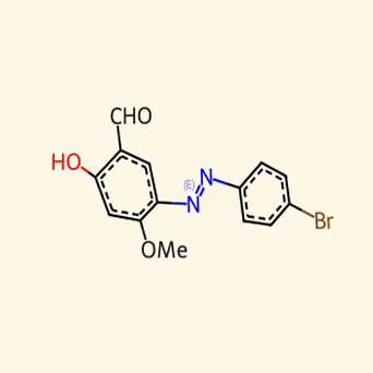 COc1cc(O)c(C=O)cc1/N=N/c1ccc(Br)cc1